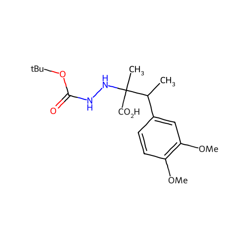 COc1ccc(C(C)C(C)(NNC(=O)OC(C)(C)C)C(=O)O)cc1OC